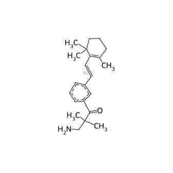 CC1=C(/C=C/c2cccc(C(=O)C(C)(C)CN)c2)C(C)(C)CCC1